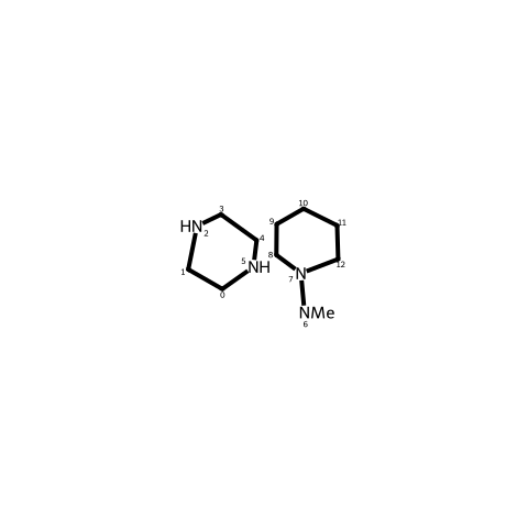 C1CNCCN1.CNN1CCCCC1